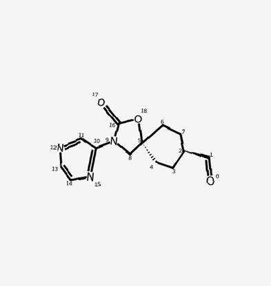 O=C[C@H]1CC[C@]2(CC1)CN(c1cnccn1)C(=O)O2